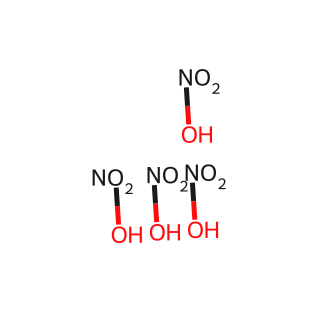 O=[N+]([O-])O.O=[N+]([O-])O.O=[N+]([O-])O.O=[N+]([O-])O